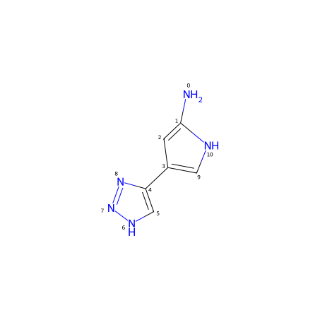 Nc1cc(-c2c[nH]nn2)c[nH]1